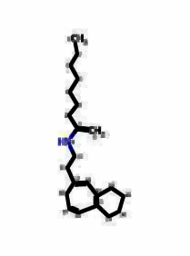 C=C(CCCCCCC)NCCC1=CC2=C(C=CC1)CCCC2